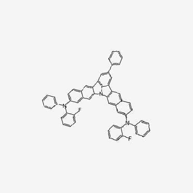 Fc1ccccc1N(c1ccccc1)c1ccc2cc3c4cc(-c5ccccc5)cc5c6cc7ccc(N(c8ccccc8)c8ccccc8F)cc7cc6n(c3cc2c1)c45